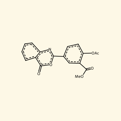 COC(=O)c1cc(-c2nc3ccccc3c(=O)o2)ccc1OC(C)=O